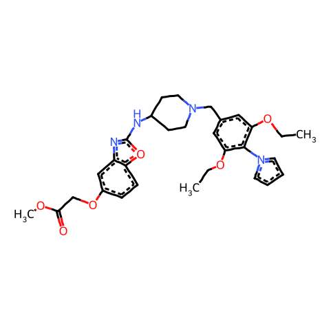 CCOc1cc(CN2CCC(Nc3nc4cc(OCC(=O)OC)ccc4o3)CC2)cc(OCC)c1-n1cccc1